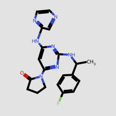 CC(Nc1nc(Nc2cnccn2)cc(N2CCCC2=O)n1)c1ccc(F)cc1